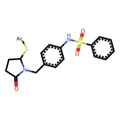 CC(=O)SC1CCC(=O)N1Cc1ccc(NS(=O)(=O)c2ccccc2)cc1